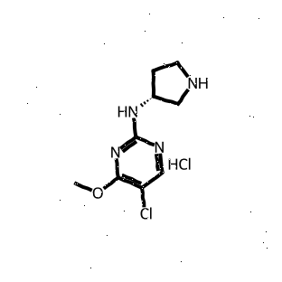 COc1nc(N[C@@H]2CCNC2)ncc1Cl.Cl